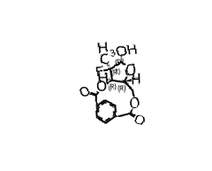 C[C@]1(F)[C@H](O)O[C@@H]2COC(=O)c3ccc(cc3)C(=O)O[C@H]21